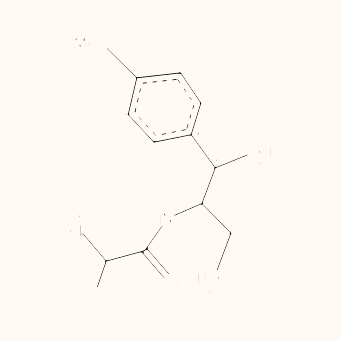 CSc1ccc(C(O)C(CO)NC(=O)C(Cl)Cl)cc1